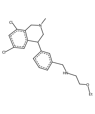 CCOCCNCc1cccc(C2CN(C)Cc3c(Cl)cc(Cl)cc32)c1